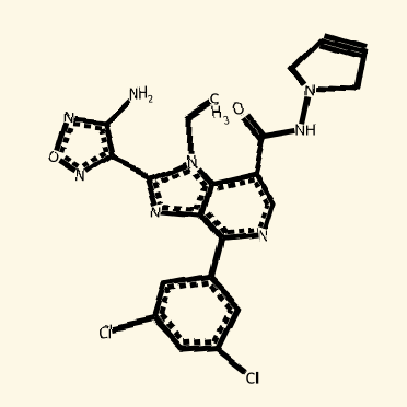 CCn1c(-c2nonc2N)nc2c(-c3cc(Cl)cc(Cl)c3)ncc(C(=O)NN3CC#CC3)c21